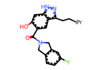 CC(C)CCc1n[nH]c2cc(O)c(C(=O)N3Cc4ccc(F)cc4C3)cc12